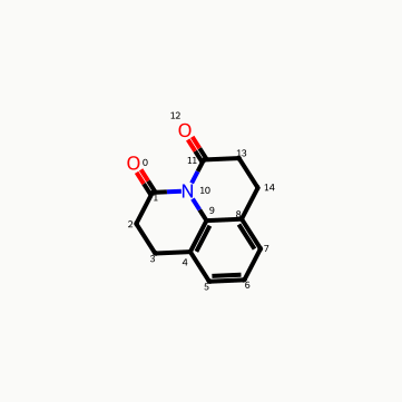 O=C1CCc2cccc3c2N1C(=O)CC3